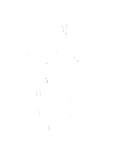 CC[S+]([O-])c1cccc2c1C(c1ccc(C(F)(F)F)cc1)=NCC(=S)N2